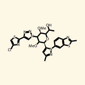 COC1C(n2cc(-c3nc(Cl)cs3)nn2)[C@@H](OC)C(C(C)O)O[C@H]1c1cc(C)nn1-c1ccc2nc(C)sc2c1